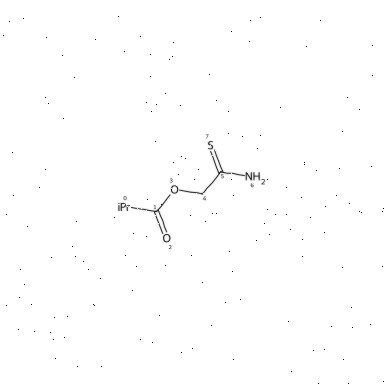 CC(C)C(=O)OCC(N)=S